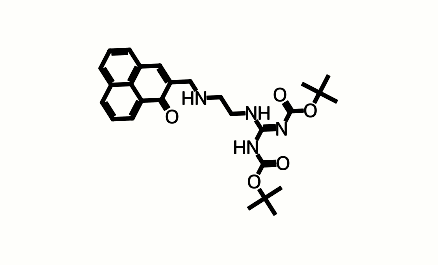 CC(C)(C)OC(=O)/N=C(\NCCNCC1=Cc2cccc3cccc(c23)C1=O)NC(=O)OC(C)(C)C